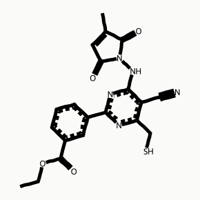 CCOC(=O)c1cccc(-c2nc(CS)c(C#N)c(NN3C(=O)C=C(C)C3=O)n2)c1